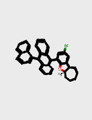 Brc1cc(-c2c3ccccc3c(-c3cccc4ccccc34)c3ccccc23)c2c(c1)C1CCCCC[C@H]1O2